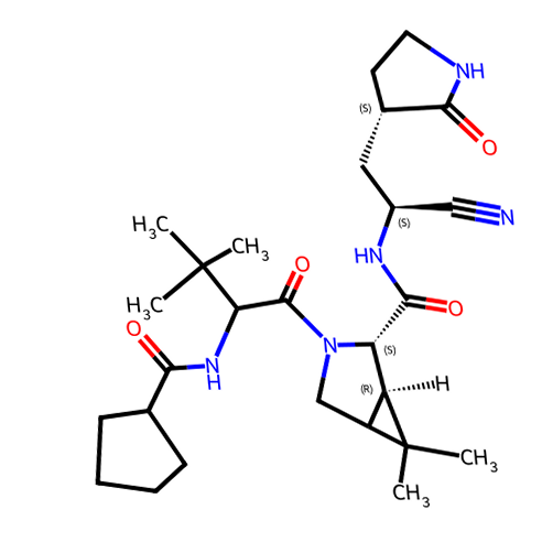 CC(C)(C)C(NC(=O)C1CCCC1)C(=O)N1CC2[C@@H]([C@H]1C(=O)N[C@H](C#N)C[C@@H]1CCNC1=O)C2(C)C